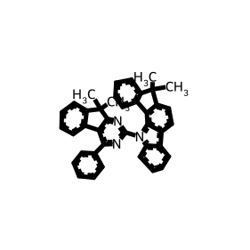 CC1(C)c2ccccc2-c2c1ccc1c3ccccc3n(-c3nc(-c4ccccc4)c4c(n3)C(C)(C)c3ccccc3-4)c21